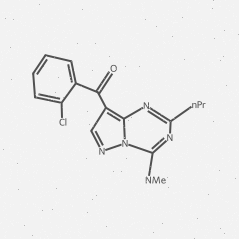 CCCc1nc(NC)n2ncc(C(=O)c3ccccc3Cl)c2n1